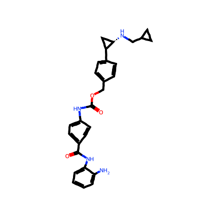 Nc1ccccc1NC(=O)c1ccc(NC(=O)OCc2ccc(C3C[C@@H]3NCC3CC3)cc2)cc1